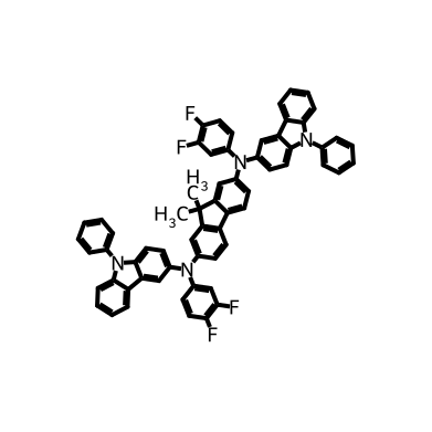 CC1(C)c2cc(N(c3ccc(F)c(F)c3)c3ccc4c(c3)c3ccccc3n4-c3ccccc3)ccc2-c2ccc(N(c3ccc(F)c(F)c3)c3ccc4c(c3)c3ccccc3n4-c3ccccc3)cc21